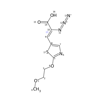 COCCOc1ncc(/C=C(\N=[N+]=[N-])C(=O)O)s1